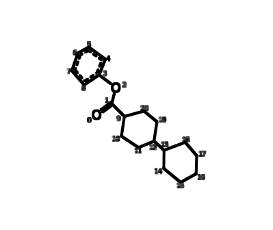 O=C(Oc1ccccc1)C1CCC(C2CCCCC2)CC1